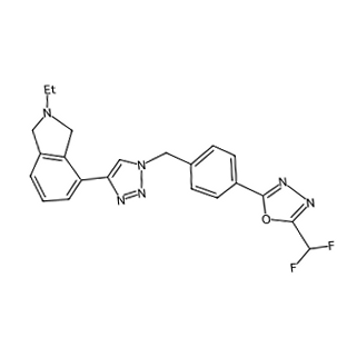 CCN1Cc2cccc(-c3cn(Cc4ccc(-c5nnc(C(F)F)o5)cc4)nn3)c2C1